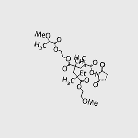 CCC(C)(CC(C)(CC(C)C(=O)ON1C(=O)CCC1=O)C(=O)OCCOC(=O)C(C)OC)C(=O)OCCOC